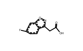 O=C(O)Cc1noc2cc(F)ccc12